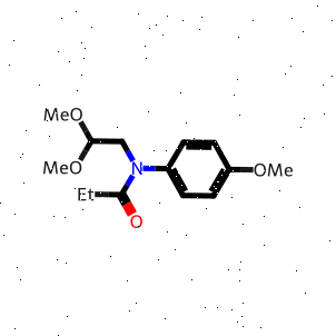 CCC(=O)N(CC(OC)OC)c1ccc(OC)cc1